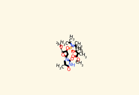 [2H]OC[C@H]1O[C@@H](n2cc(C)c(=O)[nH]c2=O)CC1OP(OC(C)C(C)C(=O)OC)N(C(C)C)C(C)C